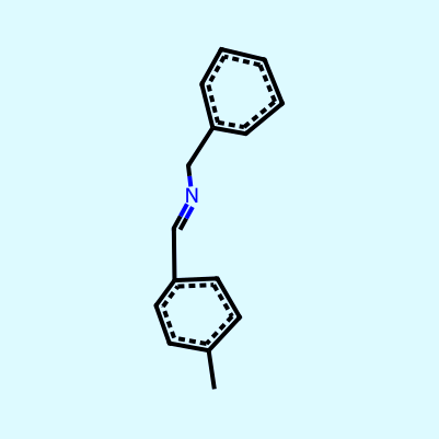 Cc1ccc(/C=N/Cc2ccccc2)cc1